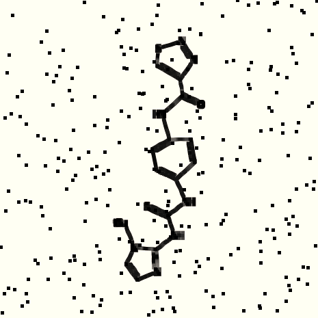 CC(C)(C)n1ccnc1NC(=S)Nc1ccc(NC(=O)c2csnn2)cc1